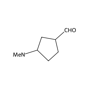 CNC1CCC(C=O)C1